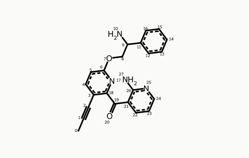 CC#Cc1ccc(OCC(N)c2ccccc2)nc1C(=O)c1cccnc1N